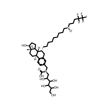 C[C@]12CC[C@@H]3c4ccc(CN(CC(O)C(O)C(O)C(O)CO)C(=O)O)cc4C[C@@H](CCCCCCCCC[S+]([O-])CCCC(F)(F)C(F)(F)F)[C@H]3[C@@H]1CC[C@@H]2O